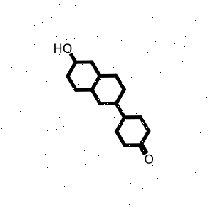 O=C1CCC(C2CCC3CC(O)CCC3C2)CC1